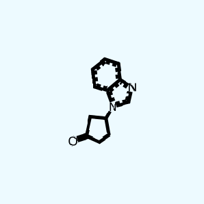 O=C1CCC(n2cnc3ccccc32)C1